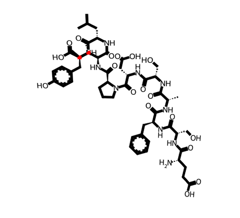 CC[C@H](C)[C@H](NC(=O)[C@@H]1CCCN1C(=O)[C@H](CC(=O)O)NC(=O)[C@H](CO)NC(=O)[C@H](C)NC(=O)[C@H](Cc1ccccc1)NC(=O)[C@H](CO)NC(=O)[C@@H](N)CCC(=O)O)C(=O)N[C@@H](CC(C)C)C(=O)N[C@@H](Cc1ccc(O)cc1)C(=O)O